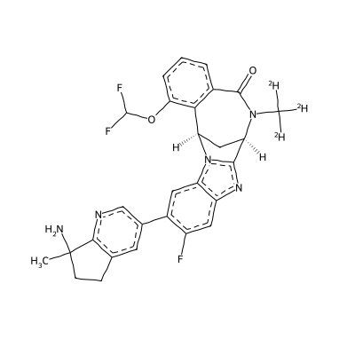 [2H]C([2H])([2H])N1C(=O)c2cccc(OC(F)F)c2[C@H]2C[C@@H]1c1nc3cc(F)c(-c4cnc5c(c4)CCC5(C)N)cc3n12